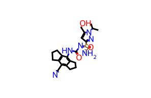 CC(C)n1nc([S@@](N)(=O)=NC(=O)Nc2c3c(c(C#N)c4c2CCC4)CCC3)cc1CO